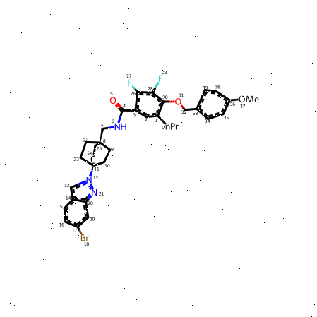 CCCc1cc(C(=O)NC[C@]23CC[C@](n4cc5ccc(Br)cc5n4)(CC2)CC3)c(F)c(F)c1OCc1ccc(OC)cc1